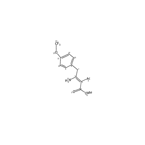 COC(=O)/C(C(C)=O)=C(\N)Cc1ccc(OC(F)(F)F)cc1